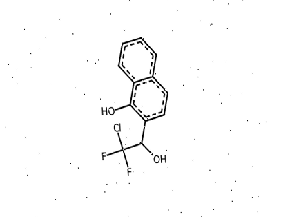 Oc1c(C(O)C(F)(F)Cl)ccc2ccccc12